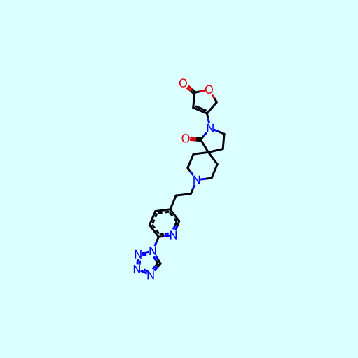 O=C1C=C(N2CCC3(CCN(CCc4ccc(-n5cnnn5)nc4)CC3)C2=O)CO1